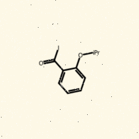 CC(C)Oc1ccccc1C(=O)I